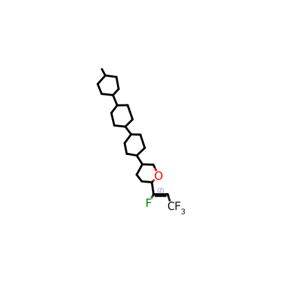 CC1CCC(C2CCC(C3CCC(C4CCC(/C(F)=C/C(F)(F)F)OC4)CC3)CC2)CC1